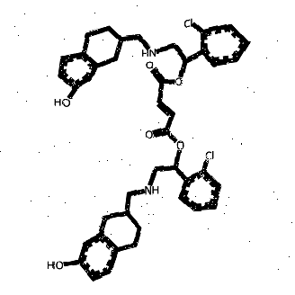 O=C(/C=C/C(=O)OC(CNCC1CCc2ccc(O)cc2C1)c1ccccc1Cl)OC(CNCC1CCc2ccc(O)cc2C1)c1ccccc1Cl